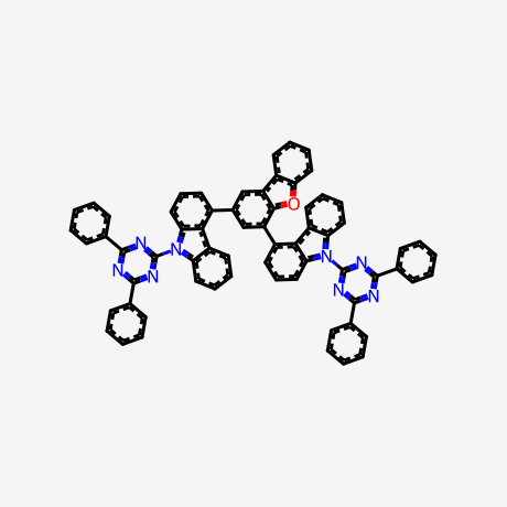 c1ccc(-c2nc(-c3ccccc3)nc(-n3c4ccccc4c4c(-c5cc(-c6cccc7c6c6ccccc6n7-c6nc(-c7ccccc7)nc(-c7ccccc7)n6)c6oc7ccccc7c6c5)cccc43)n2)cc1